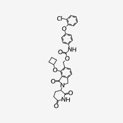 O=C1CCC(N2Cc3ccc(COC(=O)Nc4ccc(Oc5ccccc5Cl)cc4)c(OC4CCC4)c3C2=O)C(=O)N1